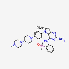 COc1cc(N2CCC(N3CCN(C)CC3)CC2)ccc1-n1ccc2nc(N)nc(Nc3ccccc3P(C)(C)=O)c21